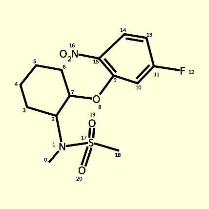 CN(C1CCCCC1Oc1cc(F)ccc1[N+](=O)[O-])S(C)(=O)=O